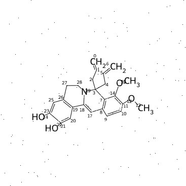 C=CCC1(CC=C)c2c(ccc(OC)c2OC)C=C2c3cc(O)c(O)cc3CCN21